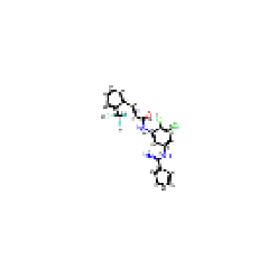 N=C(Nc1cc(Cl)c(Cl)c(NC(=O)/C=C/c2ccccc2C(F)(F)F)c1)c1ccccc1